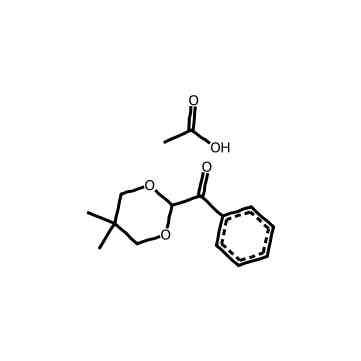 CC(=O)O.CC1(C)COC(C(=O)c2ccccc2)OC1